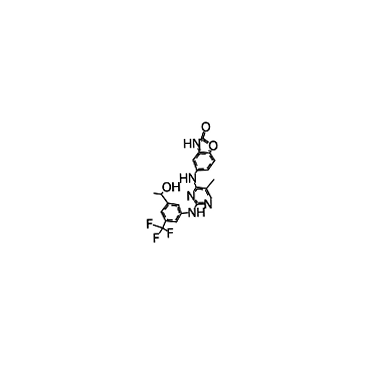 Cc1cnc(Nc2cc(C(C)O)cc(C(F)(F)F)c2)nc1Nc1ccc2oc(=O)[nH]c2c1